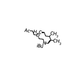 C=CCC(C)/C(C)=C\N(CCOCCC(C)=O)C(C)CC